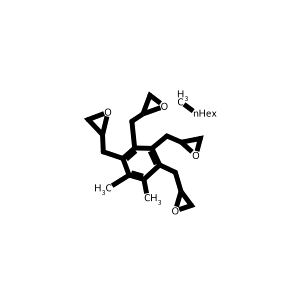 CCCCCCC.Cc1c(C)c(CC2CO2)c(CC2CO2)c(CC2CO2)c1CC1CO1